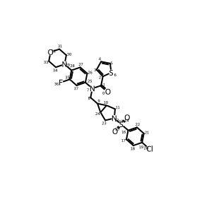 O=C(c1cccs1)N(CC1C2CN(S(=O)(=O)c3ccc(Cl)cc3)CC12)c1ccc(N2CCOCC2)c(F)c1